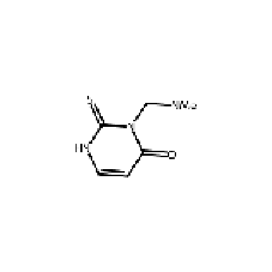 CNCn1c(=O)cc[nH]c1=S